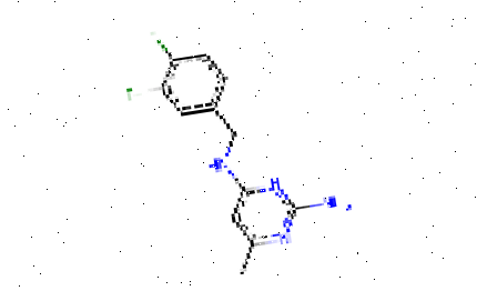 Cc1cc(NCc2ccc(F)c(F)c2)nc(N)n1